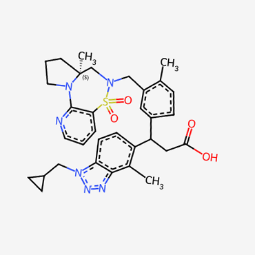 Cc1ccc(C(CC(=O)O)c2ccc3c(nnn3CC3CC3)c2C)cc1CN1C[C@]2(C)CCCN2c2ncccc2S1(=O)=O